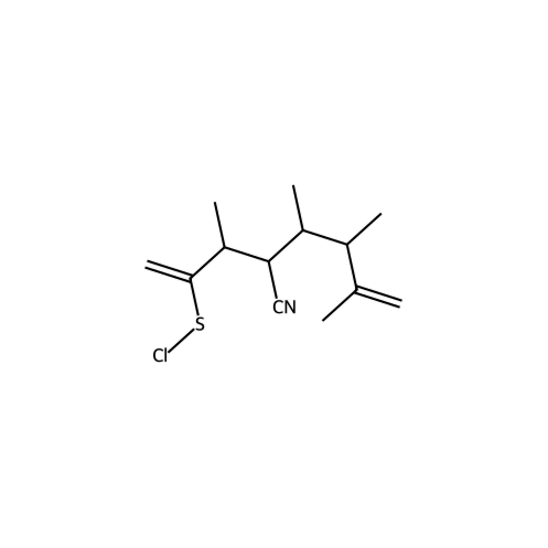 C=C(C)C(C)C(C)C(C#N)C(C)C(=C)SCl